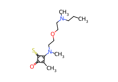 CCCN(C)CCOCCN(C)c1c(C)c(=O)c1=S